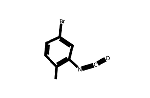 Cc1ccc(Br)cc1N=C=O